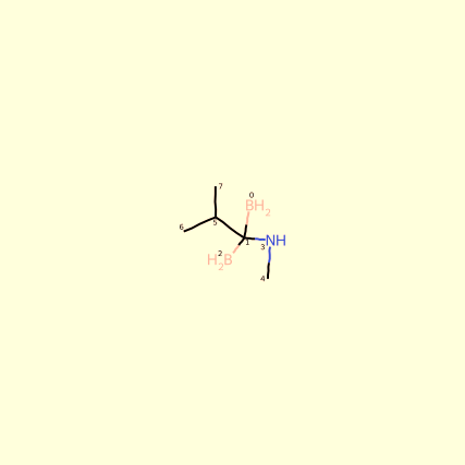 BC(B)(NC)C(C)C